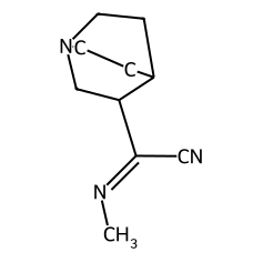 CN=C(C#N)C1CN2CCC1CC2